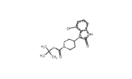 CC(C)(C)OC(=O)N1CCC(n2c(=O)[nH]c3cccc(Cl)c32)CC1